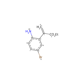 C=C(C(=O)OCC)c1cc(Br)ccc1N